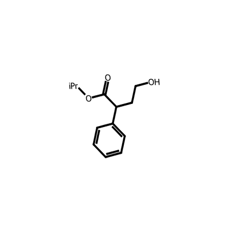 CC(C)OC(=O)C(CCO)c1ccccc1